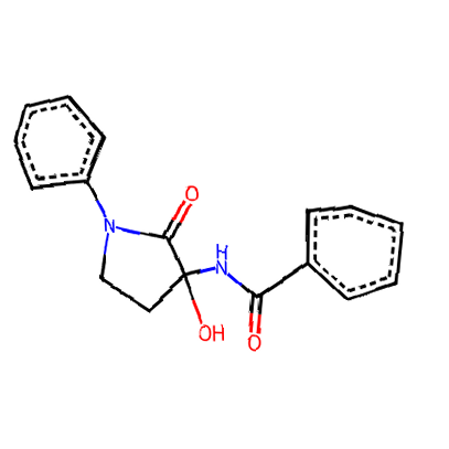 O=C(NC1(O)CCN(c2ccccc2)C1=O)c1ccccc1